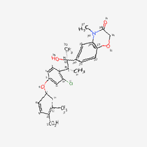 C[C@H](c1ccc(OC2C=CC(C(=O)O)=C(C(F)(F)F)C2)cc1Cl)[C@@](O)(c1ccc2c(c1)N(C)C(=O)CO2)C(F)(F)F